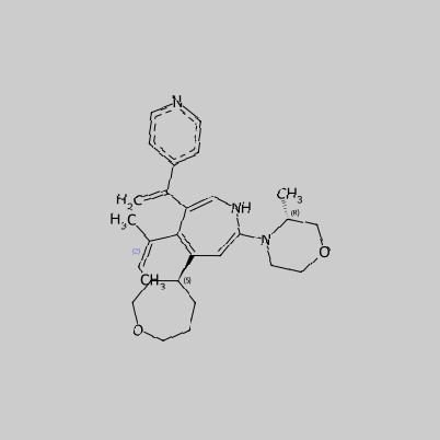 C=C(C1=CNC(N2CCOC[C@H]2C)=CC([C@H]2CCCOCC2)=C1/C(C)=C\C)c1ccncc1